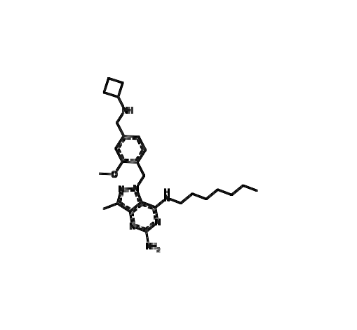 CCCCCCCNc1nc(N)nc2c(C)nn(Cc3ccc(CNC4CCC4)cc3OC)c12